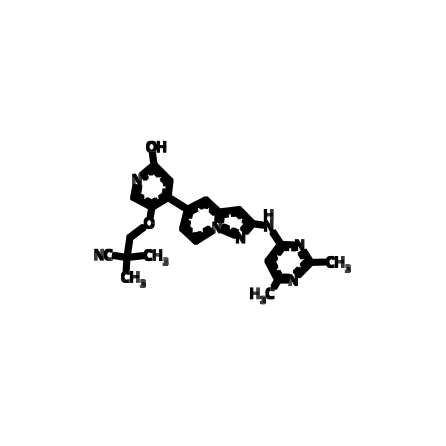 Cc1cc(Nc2cc3cc(-c4cc(O)ncc4OCC(C)(C)C#N)ccn3n2)nc(C)n1